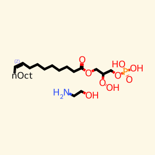 CCCCCCCC/C=C\CCCCCCCC(=O)OCC(COP(=O)(O)O)OO.NCCO